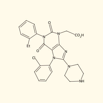 CCc1ccccc1-n1c(=O)c2c(nc(N3CCNCC3)n2-c2ccccc2Cl)n(CC(=O)O)c1=O